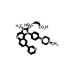 CN1CCN(c2ccc(-n3c(=O)n(C)c4cnc5ccc(-c6cccnc6)cc5c43)cc2)CC1.O=C(O)/C=C\C(=O)O